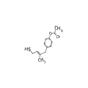 CC(=O)Oc1ccc(CC(C)=CCS)cc1